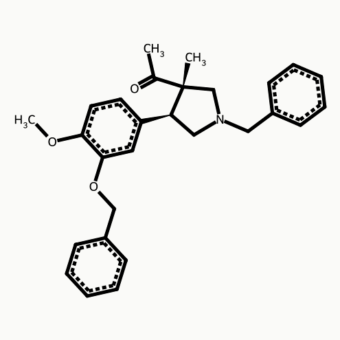 COc1ccc([C@@H]2CN(Cc3ccccc3)C[C@@]2(C)C(C)=O)cc1OCc1ccccc1